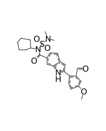 COc1ccc(-c2cc3ccc(C(=O)N(C4CCCCC4)S(=O)(=O)N(C)C)cc3[nH]2)c(C=O)c1